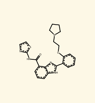 O=C(Nc1nccs1)c1cccc2[nH]c(-c3ccccc3OCCN3CCCC3)nc12